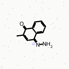 CC1=C/C(=N/N)c2ccccc2C1=O